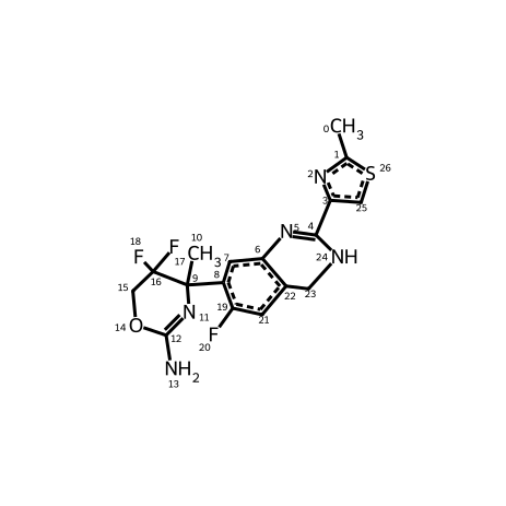 Cc1nc(C2=Nc3cc(C4(C)N=C(N)OCC4(F)F)c(F)cc3CN2)cs1